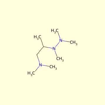 CC(CN(C)C)N(C)N(C)C